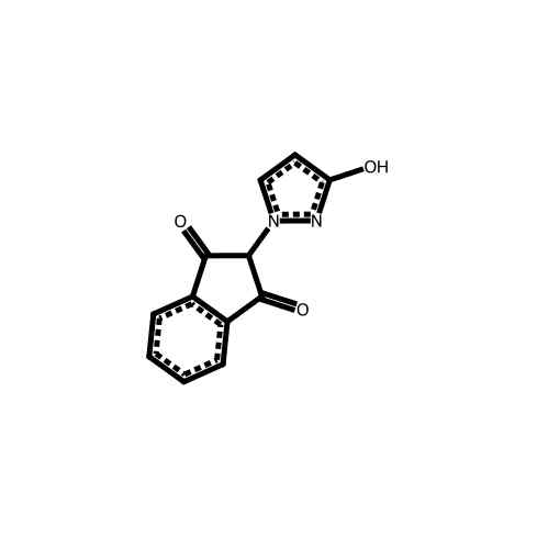 O=C1c2ccccc2C(=O)C1n1ccc(O)n1